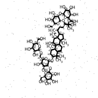 C[C@H](CC[C@@H](O[C@@H]1O[C@H](CO)[C@@H](O)[C@H](O)[C@H]1O[C@@H]1O[C@H](CO)[C@@H](O)[C@H](O)[C@H]1O)C(C)(C)O)C1CC[C@@]2(C)C3CC=C4C(CC[C@H](O[C@@H]5O[C@H](CO[C@@H]6O[C@H](CO)[C@@H](O)[C@H](O)[C@H]6O)[C@@H](O)[C@H](O)[C@H]5O[C@@H]5O[C@H](CO)[C@@H](O)[C@H](O)[C@H]5O)C4(C)C)[C@]3(C)[C@H](O)C[C@]12C